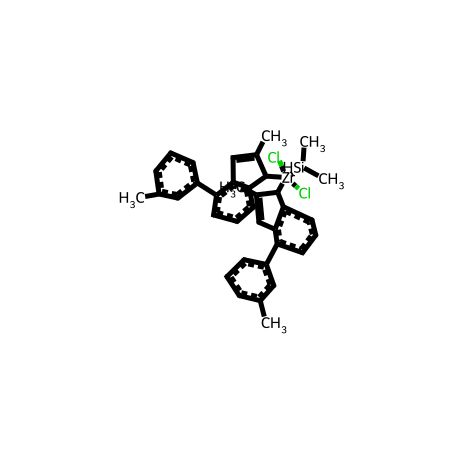 CC1=Cc2c(-c3cccc(C)c3)cccc2[CH]1[Zr]([Cl])([Cl])([CH]1C(C)=Cc2c(-c3cccc(C)c3)cccc21)[SiH](C)C